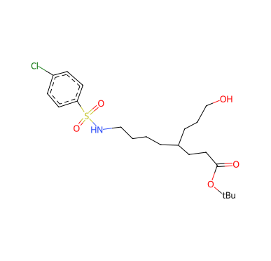 CC(C)(C)OC(=O)CCC(CCCO)CCCCNS(=O)(=O)c1ccc(Cl)cc1